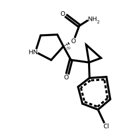 NC(=O)O[C@@]1(C(=O)C2(c3ccc(Cl)cc3)CC2)CCNC1